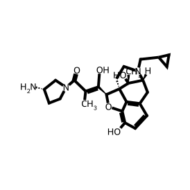 C/C(C(=O)N1CC[C@H](N)C1)=C(/O)[C@@H]1Oc2c(O)ccc3c2[C@@]12CCN(CC1CC1)[C@H](C3)[C@@]2(C)O